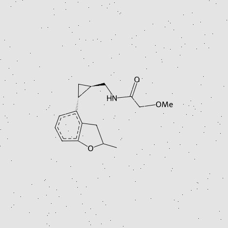 COCC(=O)NC[C@@H]1C[C@H]1c1cccc2c1CC(C)O2